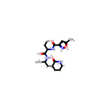 Cc1cc(C(=O)NC(CC(C)C)C(=O)NC(C=O)C[C@@H]2CCCNC2=O)no1